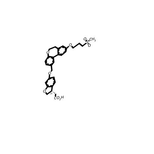 CS(=O)(=O)CCCOc1ccc2c(c1)CCOc1ccc(COc3ccc4c(c3)OC[C@H]4CC(=O)O)cc1-2